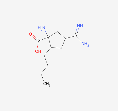 CCCCC1CC(C(=N)N)CC1(N)C(=O)O